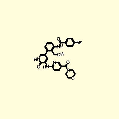 O=C(Nc1cccc(-c2c[nH]c(=O)c(Nc3ccc(C(=O)N4CCOCC4)cn3)c2)c1CO)c1ccc(Br)cc1